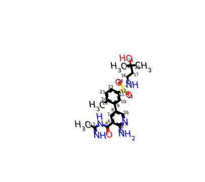 CC(=N)NC(=O)c1cc(-c2cc(S(=O)(=O)NCCC(C)(C)O)ccc2C)cnc1N